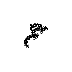 CCC(C)(OC#N)C1CCC(CC2CCC(N=C3N(C4CCC(CC5CCC(N=C6N(C(C)C(=O)OC)C(=O)N6C(C)(CC)C6CCC(CC7CCC(OC#N)CC7)CC6)CC5)CC4)C(=O)N3C(C)C(=O)OC)CC2)CC1